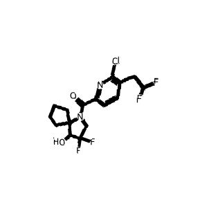 O=C(c1ccc(CC(F)F)c(Cl)n1)N1CC(F)(F)C(O)C12CCCC2